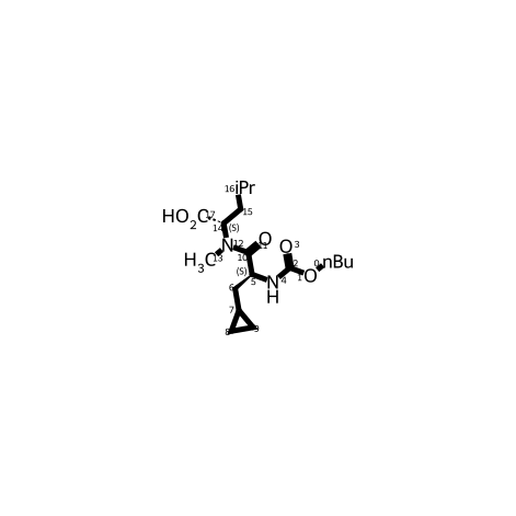 CCCCOC(=O)N[C@@H](CC1CC1)C(=O)N(C)[C@@H](CC(C)C)C(=O)O